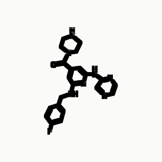 O=C(c1cc(NCc2ccc(F)cc2)nc(Nc2cnccn2)c1)N1CCNCC1